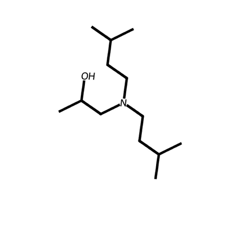 CC(C)CCN(CCC(C)C)CC(C)O